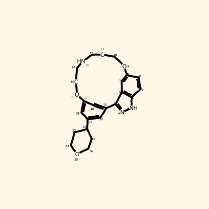 c1cc2[nH]nc3c2cc1OCCCNCCOc1cc-3cc(C2CCOCC2)c1